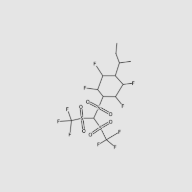 CCC(C)C1C(F)C(F)C(S(=O)(=O)C(S(=O)(=O)C(F)(F)F)S(=O)(=O)C(F)(F)F)C(F)C1F